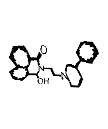 O=C1c2cccc3cccc(c23)C(O)N1CCN1CC=CC(c2ccccc2)C1